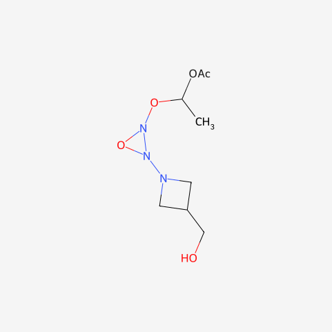 CC(=O)OC(C)On1on1N1CC(CO)C1